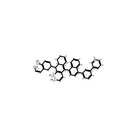 C/C=C\C1=C(C)C=CC(C2C(C)=C(/C=C\C)C(c3ccc(-c4cccc(-c5cccnc5)c4)c4ccccc34)=C3C=CCCC32)C1